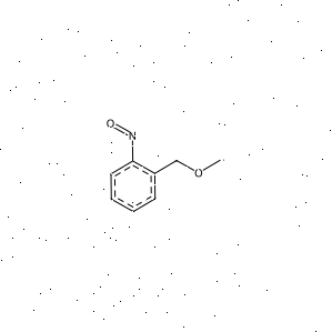 [CH2]OCc1ccccc1N=O